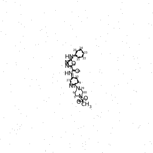 CS(=O)(=O)N1CCN(c2ccc(NC(=O)c3nnc(Nc4ccccc4)o3)cn2)CC1